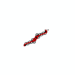 C[n+]1cccc(OCCOCCOCCOCCN2C(=O)c3ccc4c5ccc6c7c(ccc(c8ccc(c3c48)C2=O)c75)C(=O)N(CCOCCOCCOCCOc2ccccc2)C6=O)c1